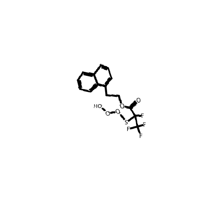 O=C(OCCc1cccc2ccccc12)C(F)(SOOO)C(F)(F)F